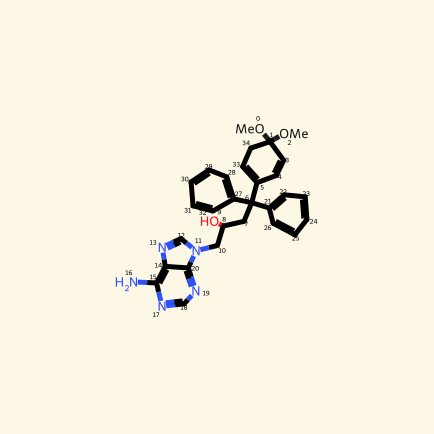 COC1(OC)C=CC(C(CC(O)Cn2cnc3c(N)ncnc32)(c2ccccc2)c2ccccc2)=CC1